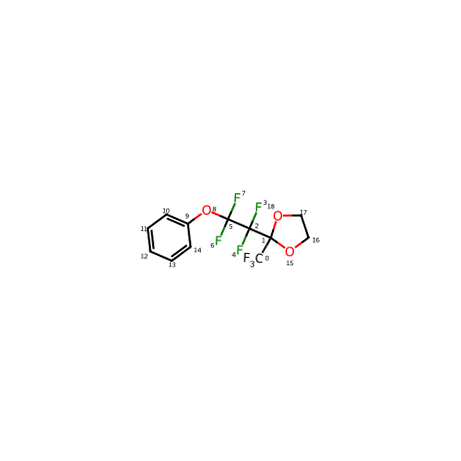 FC(F)(F)C1(C(F)(F)C(F)(F)Oc2ccccc2)OCCO1